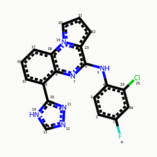 Fc1ccc(Nc2nc3c(-c4nnc[nH]4)cccc3n3cccc23)c(Cl)c1